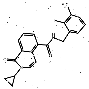 O=C(NCc1cccc(C(F)(F)F)c1F)c1cccc2c(=O)n(C3CC3)ccc12